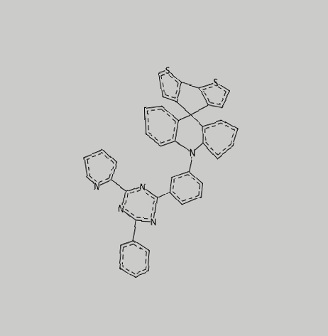 c1ccc(-c2nc(-c3cccc(N4c5ccccc5C5(c6ccccc64)c4ccsc4-c4sccc45)c3)nc(-c3ccccn3)n2)cc1